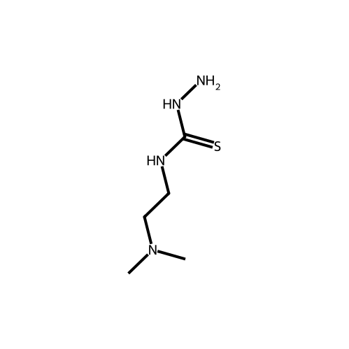 CN(C)CCNC(=S)NN